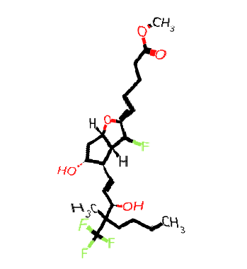 CCCCC(C)([C@H](O)/C=C/[C@@H]1[C@H]2C(F)/C(=C/CCCC(=O)OC)O[C@H]2C[C@H]1O)C(F)(F)F